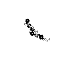 O=C(O)c1ccc(Cn2nnc(-c3ccc(F)c4c(C(=O)C(=O)N5CCN(C(=O)c6ccccc6)CC5)c[nH]c34)n2)cc1